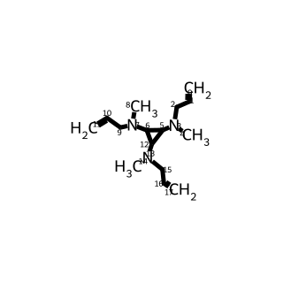 C=CCN(C)C1C(N(C)CC=C)C1N(C)CC=C